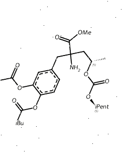 CCC[C@H](C)OC(=O)O[C@@H](C)CC(N)(Cc1ccc(OC(=O)C(C)CC)c(OC(=O)C(C)CC)c1)C(=O)OC